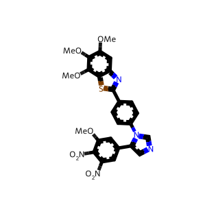 COc1cc2nc(-c3ccc(-n4cncc4-c4cc(OC)c([N+](=O)[O-])c([N+](=O)[O-])c4)cc3)sc2c(OC)c1OC